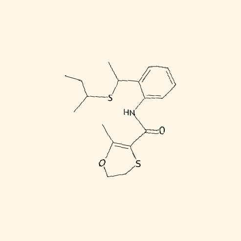 CCC(C)SC(C)c1ccccc1NC(=O)C1=C(C)OCCS1